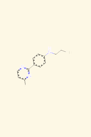 CCCNc1ccc(-c2nccc(C)n2)cc1